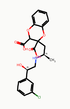 C[C@H](CC1(C(=O)O)Oc2ccccc2OC1C(=O)O)NC[C@H](O)c1cccc(Cl)c1